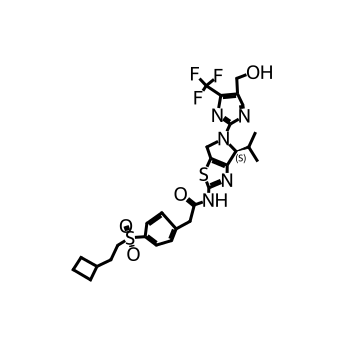 CC(C)[C@H]1c2nc(NC(=O)Cc3ccc(S(=O)(=O)CCC4CCC4)cc3)sc2CN1c1ncc(CO)c(C(F)(F)F)n1